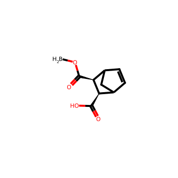 BOC(=O)[C@H]1C2C=CC(C2)[C@H]1C(=O)O